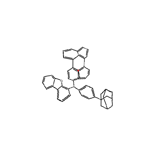 c1ccc(-c2cccc3cccc(-c4ccc(N(c5ccc(C67CC8CC(CC(C8)C6)C7)cc5)c5cccc6c5oc5ccccc56)cc4)c23)cc1